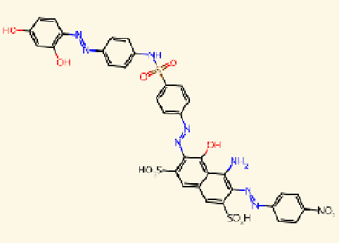 Nc1c(N=Nc2ccc([N+](=O)[O-])cc2)c(S(=O)(=O)O)cc2cc(S(=O)(=O)O)c(N=Nc3ccc(S(=O)(=O)Nc4ccc(N=Nc5ccc(O)cc5O)cc4)cc3)c(O)c12